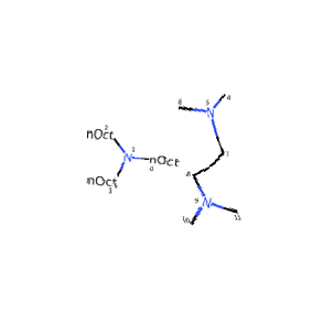 CCCCCCCCN(CCCCCCCC)CCCCCCCC.CN(C)CCN(C)C